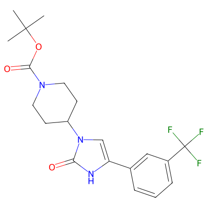 CC(C)(C)OC(=O)N1CCC(n2cc(-c3cccc(C(F)(F)F)c3)[nH]c2=O)CC1